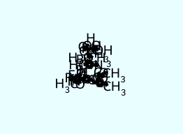 CCc1ccc(COc2ccc(-n3c(=O)cc(C(F)(F)F)n(C)c3=O)cc2)c(OC(C)C(=O)OC)c1.C[S+](C)C.N#Cc1cc(Br)c(O)c(Br)c1.O=C(O)CNCP(=O)([O-])O